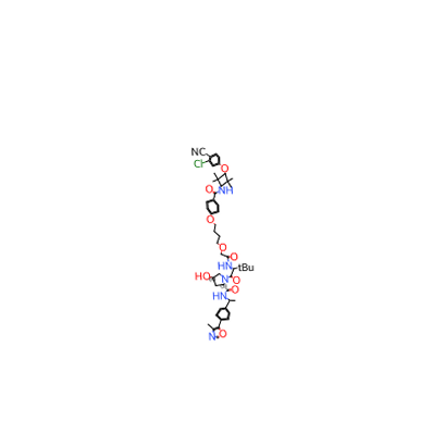 Cc1ncoc1-c1ccc(C(C)NC(=O)[C@@H]2C[C@@H](O)CN2C(=O)C(NC(=O)COCCCCOc2ccc(C(=O)N[C@H]3C(C)(C)[C@H](Oc4ccc(C#N)c(Cl)c4)C3(C)C)cc2)C(C)(C)C)cc1